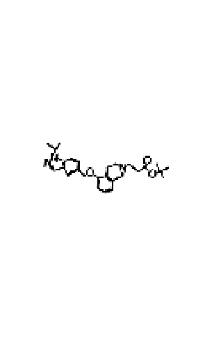 CC(C)n1ncc2cc(COc3cccc4c3CCN(CCC(=O)OC(C)(C)C)C4)ccc21